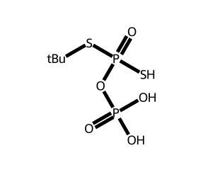 CC(C)(C)SP(=O)(S)OP(=O)(O)O